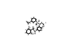 C[C@H]1CN(S(=O)(=O)c2cccc(C3CC3)c2)c2cc(NC(=O)c3c(F)cccc3Cl)cnc2O1